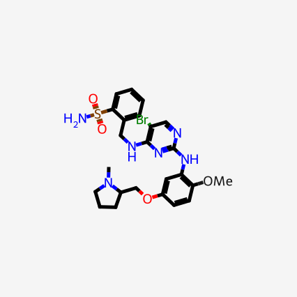 COc1ccc(OCC2CCCN2C)cc1Nc1ncc(Br)c(NCc2ccccc2S(N)(=O)=O)n1